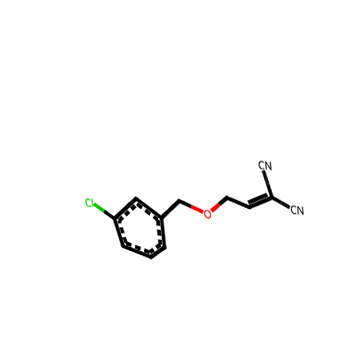 N#CC(C#N)=CCOCc1cccc(Cl)c1